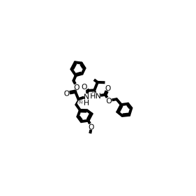 COc1ccc(C[C@H](NC(=O)[C@@H](NC(=O)OCc2ccccc2)C(C)C)C(=O)OCc2ccccc2)cc1